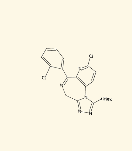 CCCCCCc1nnc2n1-c1ccc(Cl)nc1C(c1ccccc1Cl)=NC2